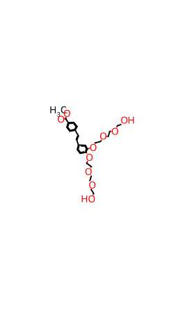 COC(=O)c1ccc(/C=C/c2ccc(OCCOCCOCCO)c(OCCOCCOCCO)c2)cc1